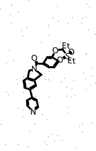 CCC(Oc1cccc(C(=O)N2Cc3ccc(-c4ccncc4)cc3C2)c1)S(=O)(=O)CC